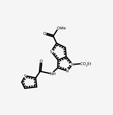 CCOC(=O)n1nc(NC(=O)c2cccs2)c2sc(C(=O)OC)cc21